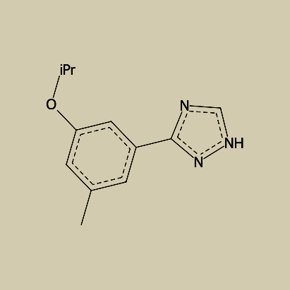 Cc1cc(OC(C)C)cc(-c2nc[nH]n2)c1